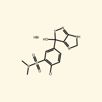 Br.CN(C)S(=O)(=O)c1cc(C2(O)SN=C3NCN=C32)ccc1Cl